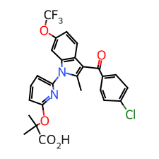 Cc1c(C(=O)c2ccc(Cl)cc2)c2ccc(OC(F)(F)F)cc2n1-c1cccc(OC(C)(C)C(=O)O)n1